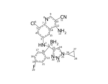 BC(Nc1cc(Cl)c2ncc(C#N)c(N)c2c1)(c1ccc(F)cc1)c1cn(C2CC2)nn1